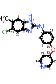 Cc1cc2[nH]c(Nc3ccc(Oc4ccncc4)cc3)nc2cc1Cl